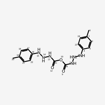 Cc1ccc(NNNC(=O)OC(=O)NNNc2ccc(C)cc2)cc1